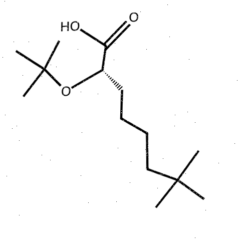 CC(C)(C)CCCC[C@H](OC(C)(C)C)C(=O)O